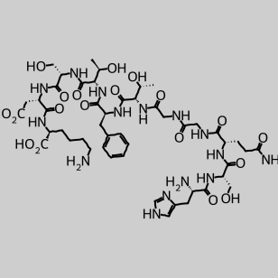 C[C@@H](O)[C@H](NC(=O)CNC(=O)CNC(=O)[C@H](CCC(N)=O)NC(=O)[C@H](CO)NC(=O)[C@@H](N)Cc1c[nH]cn1)C(=O)N[C@@H](Cc1ccccc1)C(=O)N[C@H](C(=O)N[C@@H](CO)C(=O)N[C@@H](CC(=O)O)C(=O)N[C@@H](CCCCN)C(=O)O)[C@@H](C)O